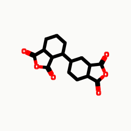 O=C1OC(=O)C2CC(C3CCCC4C(=O)OC(=O)C43)CCC12